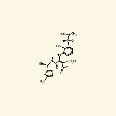 CCOC(=O)C1=C(Nc2cccc(S(=O)(=O)N(C)C)c2O)C(N[C@@H](c2ccc(C)o2)C(C)(C)C)=NS1(=O)=O